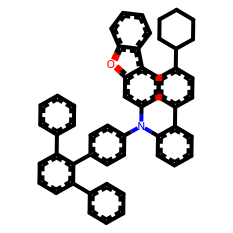 c1ccc(-c2cccc(-c3ccccc3)c2-c2ccc(N(c3ccc4c(c3)oc3ccccc34)c3ccccc3-c3ccc(C4CCCCC4)cc3)cc2)cc1